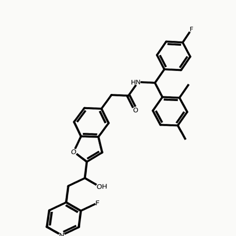 Cc1ccc(C(NC(=O)Cc2ccc3oc(C(O)Cc4ccncc4F)cc3c2)c2ccc(F)cc2)c(C)c1